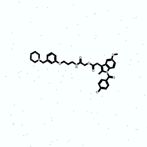 COc1ccc2c(c1)c(CC(=O)OCC(=O)NCCCOc1cccc(CN3CCCCC3)c1)c(C)n2C(=O)c1ccc(Cl)cc1